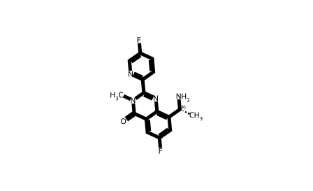 C[C@@H](N)c1cc(F)cc2c(=O)n(C)c(-c3ccc(F)cn3)nc12